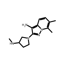 CNC1CCN(c2nn3c(C)c(C)ccc3c2N)C1